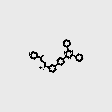 C=N/C(=C\C=C(/C)c1ccncc1)c1cccc(-c2ccc(-c3nc(-c4ccccc4)nc(-c4ccccc4)n3)cc2)c1